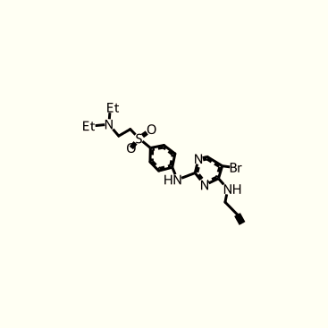 C#CCNc1nc(Nc2ccc(S(=O)(=O)CCN(CC)CC)cc2)ncc1Br